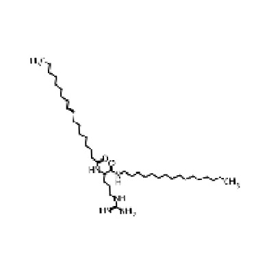 CCCCCCCCC=CCCCCCCCC(=O)NC(CCCNC(=N)N)C(=O)NCCCCCCCCCCCCCCCC